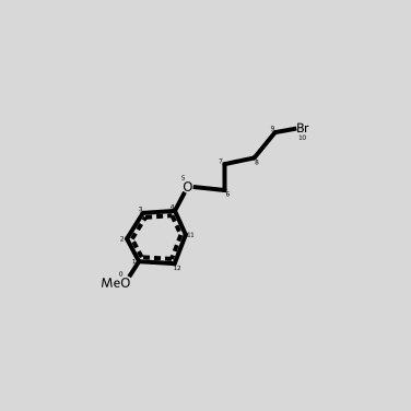 COc1ccc(OCCCCBr)cc1